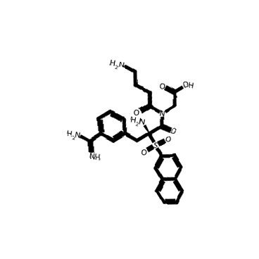 N=C(N)c1cccc(C[C@](N)(C(=O)N(CC(=O)O)C(=O)CCCN)S(=O)(=O)c2ccc3ccccc3c2)c1